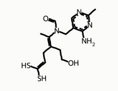 CC(=C(CC=C(S)S)CCO)N(C=O)Cc1cnc(C)nc1N